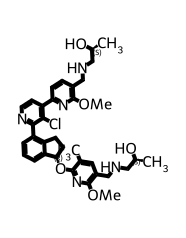 COc1nc(-c2ccnc(-c3cccc4c3CC[C@H]4Oc3nc(OC)c(CNC[C@H](C)O)cc3C(F)(F)F)c2Cl)ccc1CNC[C@H](C)O